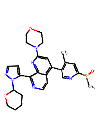 Cc1cc([S+](C)[O-])ncc1-c1cc(N2CCOCC2)nc2c(-c3ccnn3C3CCCCO3)nccc12